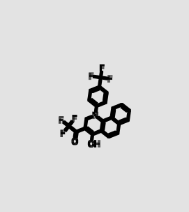 O=C(C1=C(O)c2ccc3ccccc3c2N(c2ccc(C(F)(F)F)cc2)C1)C(F)(F)F